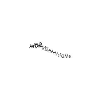 COCCCCCCCCCCCCCCCCCC(=O)c1ccc(C(C)=O)cc1